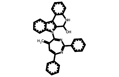 C=C1C=C(c2ccccc2)N=C(c2ccccc2)N=C1n1c2c(c3ccccc31)-c1ccccc1NC2O